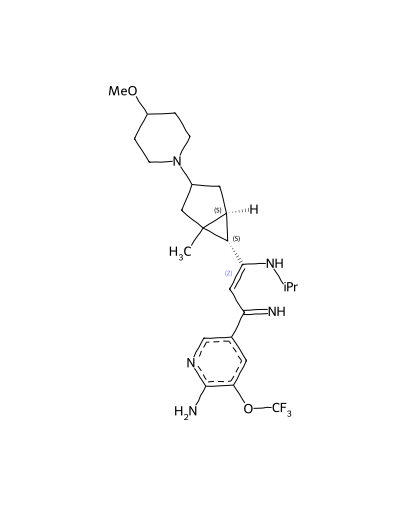 COC1CCN(C2C[C@H]3[C@H](/C(=C/C(=N)c4cnc(N)c(OC(F)(F)F)c4)NC(C)C)C3(C)C2)CC1